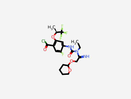 CCN(C(=N)COC1CCCCO1)C(=O)Nc1cc(O[C@@H](C)C(F)(F)F)c(C(=O)Cl)cc1F